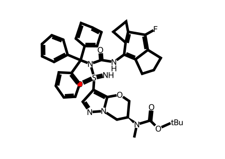 CN(C(=O)OC(C)(C)C)[C@@H]1COc2c(S(=N)(=O)N(C(=O)Nc3c4c(c(F)c5c3CC5)CCC4)C(c3ccccc3)(c3ccccc3)c3ccccc3)cnn2C1